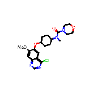 COc1cc2ncnc(Cl)c2cc1OC1CCC(N(C)C(=O)N2CCOCC2)CC1